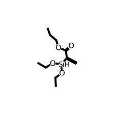 C=C(C(=O)OCCC)[SiH](OCC)OCC